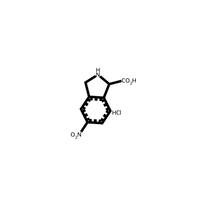 Cl.O=C(O)C1NCc2cc([N+](=O)[O-])ccc21